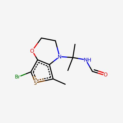 Cc1sc(Br)c2c1N(C(C)(C)NC=O)CCO2